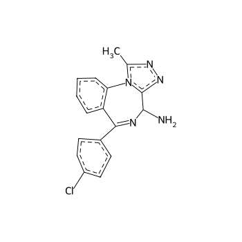 Cc1nnc2n1-c1ccccc1C(c1ccc(Cl)cc1)=NC2N